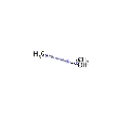 CC/C=C/C/C=C/C/C=C/C/C=C/C/C=C/CCC/C=C(/CO)OCC